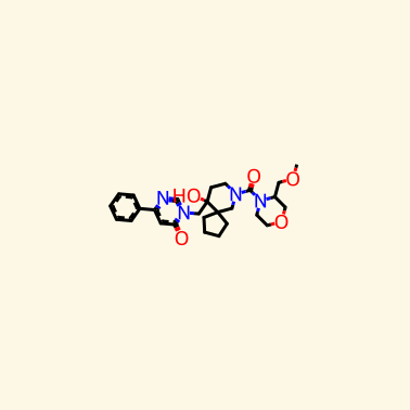 COCC1COCCN1C(=O)N1CCC(O)(Cn2cnc(-c3ccccc3)cc2=O)C2(CCCC2)C1